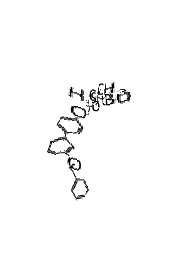 CC(C)(C)[Si](C)(C)OCCOc1ccc(-c2cccc(OCc3ccccc3)c2)cc1